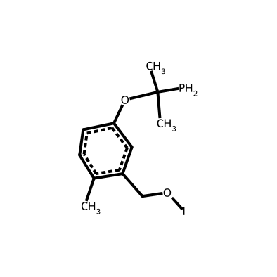 Cc1ccc(OC(C)(C)P)cc1COI